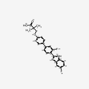 CC(C)(COc1ccc(-c2ccc(-c3nc4cc(F)ccc4[nH]3)c(F)c2)cn1)C(=O)O